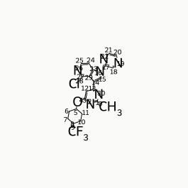 Cc1nc(OC2CCC(C(F)(F)F)CC2)cc(-c2cn(-c3cnccn3)c3ccnc(Cl)c23)n1